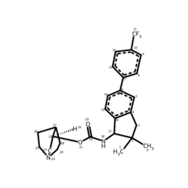 CC1(C)Cc2cc(-c3ccc(C(F)(F)F)cc3)ccc2C1NC(=O)O[C@H]1CN2CCC1CC2